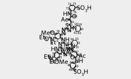 CCOCN(CC)c1cc(NC(=N)/N=C(\NC)Nc2cc(N(CC)CC)c(OC)cc2/N=N/c2nc(N3CCCCC3)c(/C=C(/C(C)=O)C(=O)Nc3cccc(S(=O)(=O)O)c3)s2)c(/N=N/c2nc(N3CCCCC3)c(/C=C(\C(C)=O)C(=O)Nc3cccc(S(=O)(=O)O)c3)s2)cc1OC